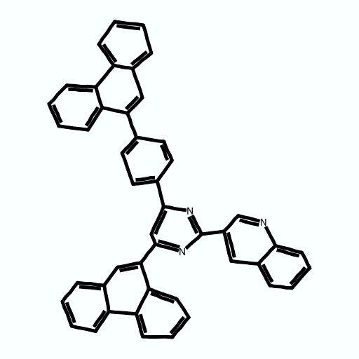 c1ccc2ncc(-c3nc(-c4ccc(-c5cc6ccccc6c6ccccc56)cc4)cc(-c4cc5ccccc5c5ccccc45)n3)cc2c1